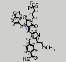 CCCCc1ncc(/C=C2\C(=O)N(CCCC(F)(F)F)C(=O)N2Cc2csc(C)n2)n1Cc1ccc(C(=O)O)cc1